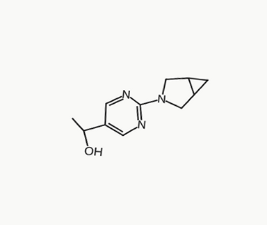 CC(O)c1cnc(N2CC3CC3C2)nc1